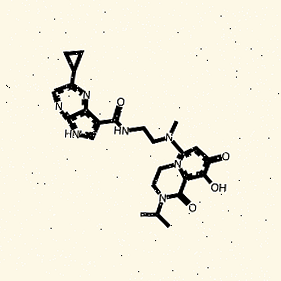 CC(C)N1CCn2c(N(C)CCNC(=O)c3c[nH]c4ncc(C5CC5)nc34)cc(=O)c(O)c2C1=O